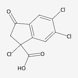 O=C1CC(Cl)(C(=O)O)c2cc(Cl)c(Cl)cc21